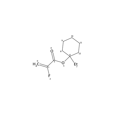 C=C(F)C(=O)OC1(CC)CCCCC1